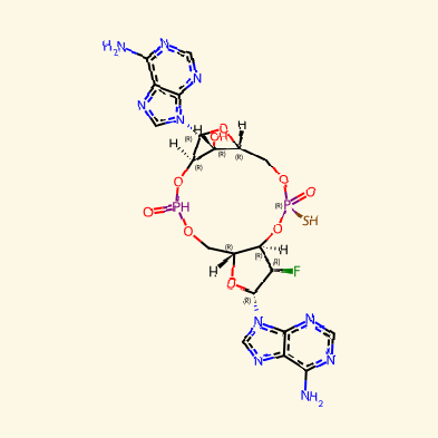 Nc1ncnc2c1ncn2[C@@H]1O[C@@H]2CO[PH](=O)O[C@@H]3[C@H](O)[C@@H](CO[P@@](=O)(S)O[C@H]2[C@H]1F)O[C@H]3n1cnc2c(N)ncnc21